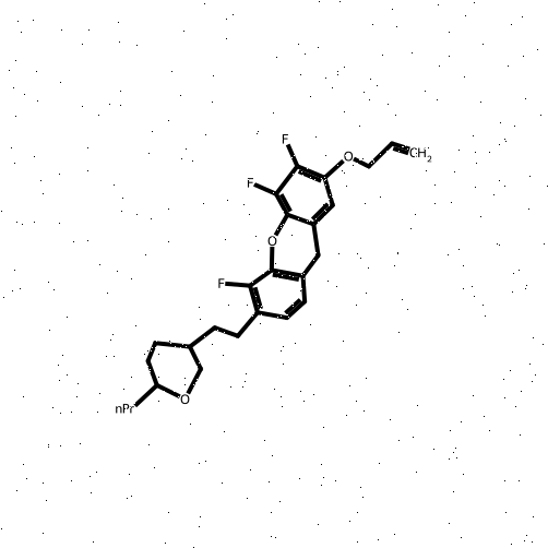 C=CCOc1cc2c(c(F)c1F)Oc1c(ccc(CCC3CCC(CCC)OC3)c1F)C2